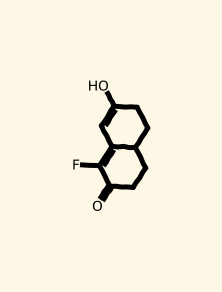 O=C1CCC2CCC(O)=CC2=C1F